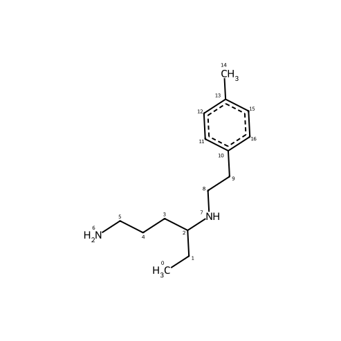 CCC(CCCN)NCCc1ccc(C)cc1